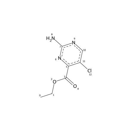 CCOC(=O)c1nc(N)ncc1Cl